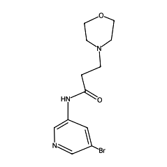 O=C(CCN1CCOCC1)Nc1cncc(Br)c1